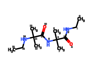 CCNC(=O)C(C)(C)NC(=O)C(C)(C)NCC